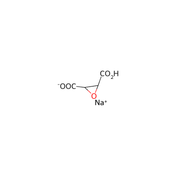 O=C([O-])C1OC1C(=O)O.[Na+]